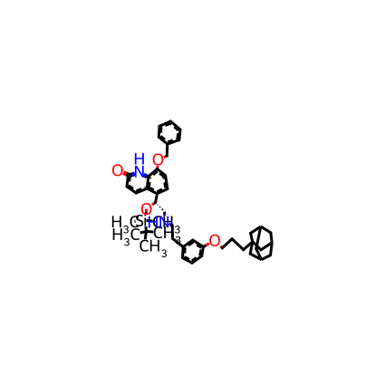 CC(C)(C)[Si](C)(C)O[C@@H](CNCCc1cccc(OCCCC23CC4CC(CC(C4)C2)C3)c1)c1ccc(OCc2ccccc2)c2[nH]c(=O)ccc12